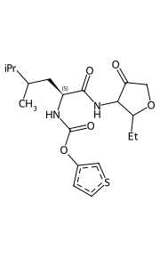 CCC1OCC(=O)C1NC(=O)[C@H](CC(C)C(C)C)NC(=O)Oc1ccsc1